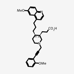 COc1ccc2nccc(CCC[C@@H]3CCN(CC#Cc4ccccc4OC)C[C@@H]3CCC(=O)O)c2c1